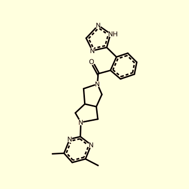 Cc1cc(C)nc(N2CC3CN(C(=O)c4ccccc4-c4ncn[nH]4)CC3C2)n1